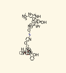 Cc1ncsc1-c1ccc([C@H](C)NC(=O)[C@@H]2C[C@@H](O)CN2C(=O)[C@@H](c2cc(OC/C=C/c3ccc(O[C@H]4C[C@H](Oc5cc(N6C7CCC6CN(c6cc(-c8ccccc8O)nnc6N)C7)ccn5)C4)cn3)no2)C(C)C)cn1